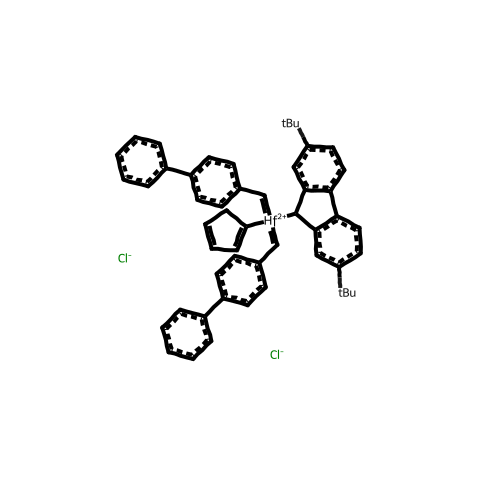 CC(C)(C)c1ccc2c(c1)[CH]([Hf+2](=[CH]c1ccc(-c3ccccc3)cc1)(=[CH]c1ccc(-c3ccccc3)cc1)[C]1=CC=CC1)c1cc(C(C)(C)C)ccc1-2.[Cl-].[Cl-]